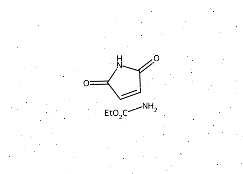 CCOC(N)=O.O=C1C=CC(=O)N1